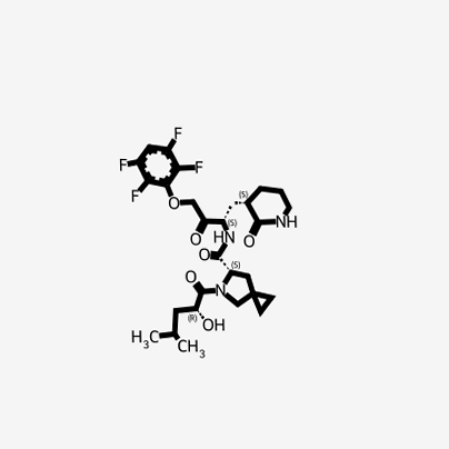 CC(C)C[C@@H](O)C(=O)N1CC2(CC2)C[C@H]1C(=O)N[C@@H](C[C@@H]1CCCNC1=O)C(=O)COc1c(F)c(F)cc(F)c1F